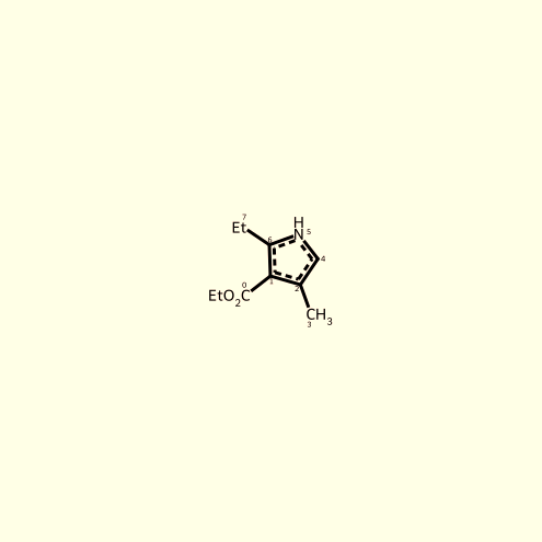 CCOC(=O)c1c(C)c[nH]c1CC